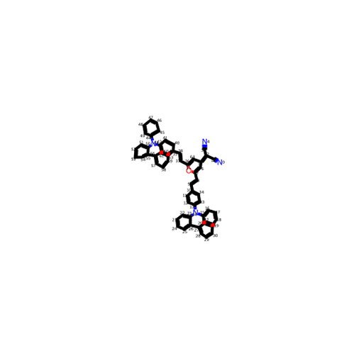 N#CC(C#N)=C1C=C(/C=C/c2ccc(N(c3ccccc3)c3ccccc3-c3ccccc3)cc2)OC(/C=C/c2ccc(N(c3ccccc3)c3ccccc3-c3ccccc3)cc2)=C1